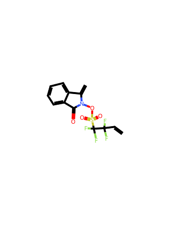 C=CC(F)(F)C(F)(F)S(=O)(=O)ON1C(=C)c2ccccc2C1=O